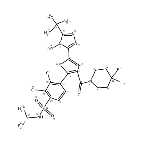 CCCn1c(-c2nc(C(=O)N3CCC(F)(F)CC3)c(-c3ccc(S(=O)(=O)N[C@@H](C)C(F)(F)F)c(Cl)c3Cl)s2)nnc1C(C)(C)O